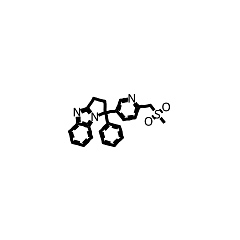 CS(=O)(=O)Cc1ccc(C2(c3ccccc3)CCc3nc4ccccc4n32)cn1